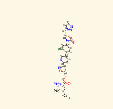 CC(C)C[C@H](N)C(=O)OCC1CC(c2ccc(-c3ccc(N4C[C@H](Cn5ccnn5)OC4=O)cc3F)cn2)=NO1